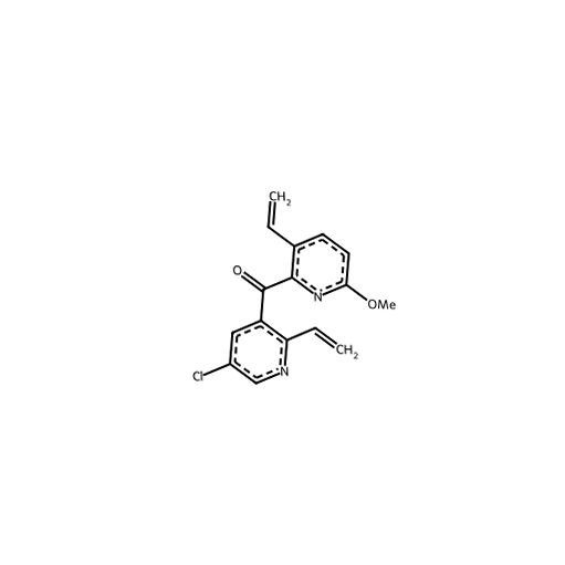 C=Cc1ccc(OC)nc1C(=O)c1cc(Cl)cnc1C=C